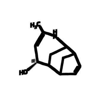 CC1=C[C@@H](O)C2CC(N1)C1C=CC2C1